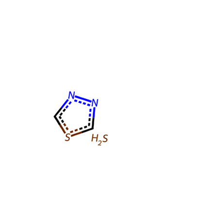 S.c1nncs1